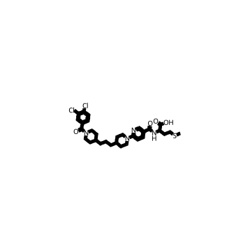 CSCCC(NC(=O)c1ccc(N2CCC(CCCC3CCN(C(=O)c4ccc(Cl)c(Cl)c4)CC3)CC2)nc1)C(=O)O